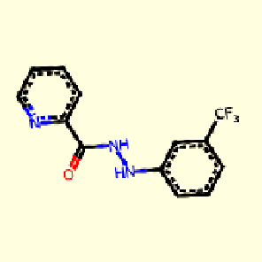 O=C(NNc1cccc(C(F)(F)F)c1)c1ccccn1